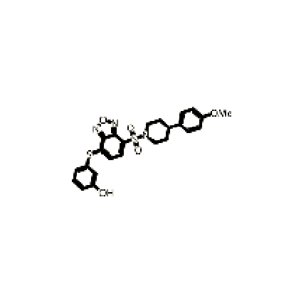 COc1ccc(C2CCN(S(=O)(=O)c3ccc(Sc4cccc(O)c4)c4nonc34)CC2)cc1